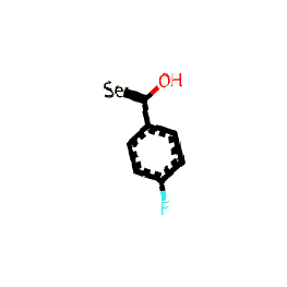 OC(=[Se])c1ccc(F)cc1